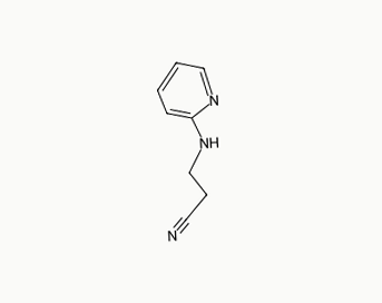 N#CCCNc1ccccn1